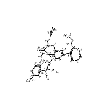 CCOc1ncccc1-c1ccc2c(n1)CN(CC#N)C(=O)C21CCN(c2ccc(Cl)cc2C(F)(F)F)CC1